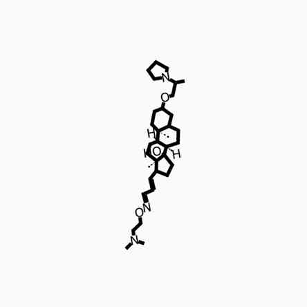 CC(COC1CC[C@@]2(C)C(CC[C@@H]3[C@H]2CC[C@]2(C)C(C=C/C=N/OCCN(C)C)CC[C@@]32O)C1)N1CCCC1